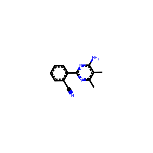 Cc1nc(-c2ccccc2C#N)nc(N)c1C